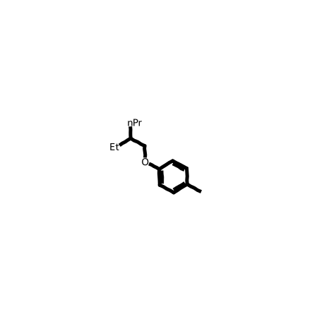 CCCC(CC)COc1ccc(C)cc1